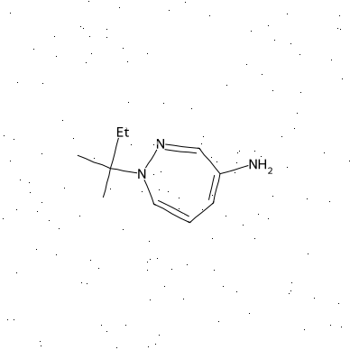 CCC(C)(C)N1C=CC=C(N)C=N1